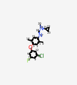 Cc1cc(Oc2cc(F)cc(Cl)c2)c(C)cc1/N=C/N(C)C1CC1